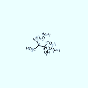 O.O.O=C(O)C(O)C(O)C(=O)O.[NaH].[NaH]